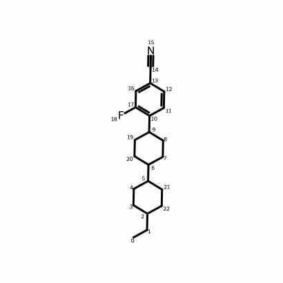 CCC1CCC(C2CCC(c3ccc(C#N)cc3F)CC2)CC1